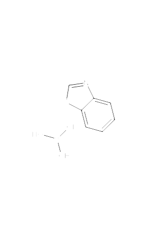 OB(O)O.c1ccc2scnc2c1